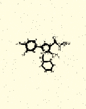 CCCCNC(=O)c1cc(-c2ccc(F)c(F)c2)n(CC2CCCCC2)c1C